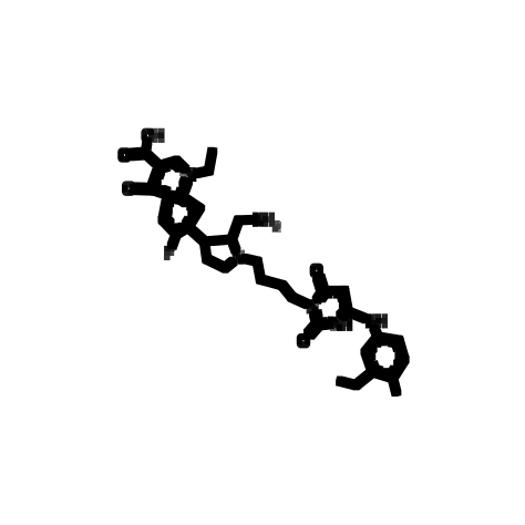 CCc1cc(Nc2cc(=O)n(CCCCN3CCC(c4cc5c(cc4F)c(=O)c(C(=O)O)cn5CC)C3CN)c(=O)[nH]2)ccc1C